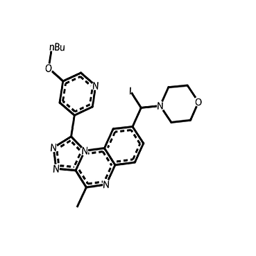 CCCCOc1cncc(-c2nnc3c(C)nc4ccc(C(I)N5CCOCC5)cc4n23)c1